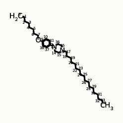 C=CCCCCCCOc1ccc(N2CCN(CCCCCCCCCCCCCCCCCC)CC2)cc1